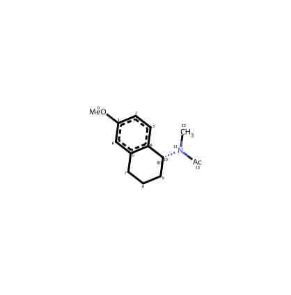 COc1ccc2c(c1)CCC[C@H]2N(C)C(C)=O